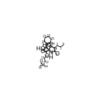 CCC[C@H]1C(=O)N[C@](C(=O)OCC[Si](C)(C)C)([C@@H](O)C2CCCCC2)[C@@]1(C)O